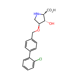 O=C(O)[C@@H]1NC[C@H](OCc2ccc(-c3ccccc3Cl)cc2)[C@H]1O